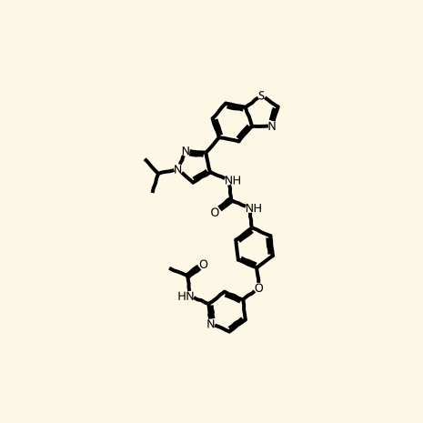 CC(=O)Nc1cc(Oc2ccc(NC(=O)Nc3cn(C(C)C)nc3-c3ccc4scnc4c3)cc2)ccn1